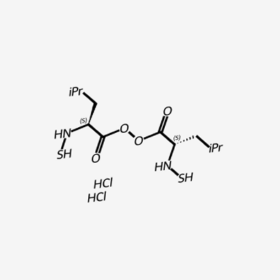 CC(C)C[C@H](NS)C(=O)OOC(=O)[C@H](CC(C)C)NS.Cl.Cl